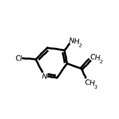 C=C(C)c1cnc(Cl)cc1N